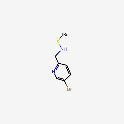 CC(C)(C)SNCc1ccc(Br)cn1